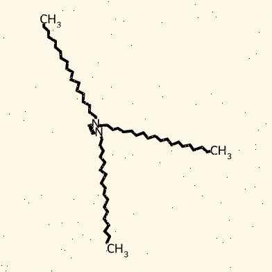 CCCCCCCCCCCCCCCCCCCC1N(CCCCCCCCCCCCCCCCCCC)C=CN1CCCCCCCCCCCCCCCCCCC